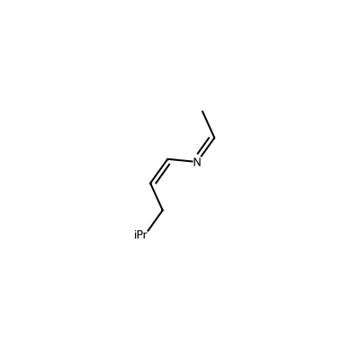 C/C=N\C=C/CC(C)C